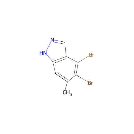 Cc1cc2[nH]ncc2c(Br)c1Br